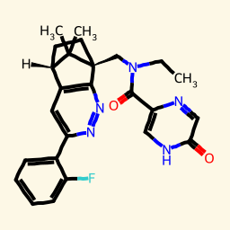 CCN(C[C@@]12CC[C@@H](c3cc(-c4ccccc4F)nnc31)C2(C)C)C(=O)c1c[nH]c(=O)cn1